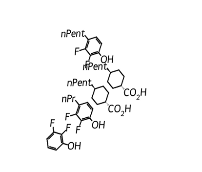 CCCCC[C@H]1CC[C@H](C(=O)O)CC1.CCCCC[C@H]1CC[C@H](C(=O)O)CC1.CCCCCc1ccc(O)c(F)c1F.CCCc1ccc(O)c(F)c1F.Oc1cccc(F)c1F